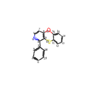 c1ccc(-c2nccc3c2Sc2ccccc2O3)cc1